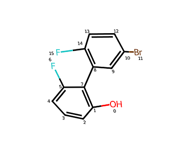 Oc1cccc(F)c1-c1cc(Br)ccc1F